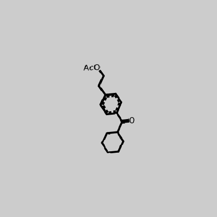 CC(=O)OCCc1ccc(C(=O)C2CCCCC2)cc1